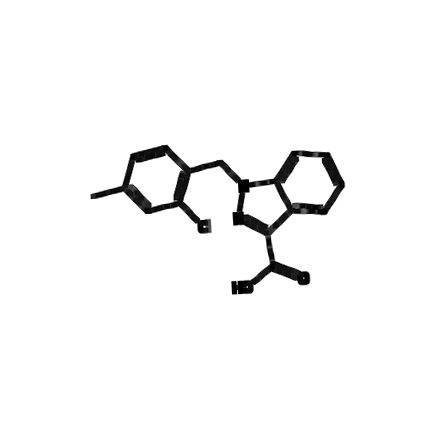 Cc1ccc(Cn2nc(C(=O)O)c3ccccc32)c(Cl)c1